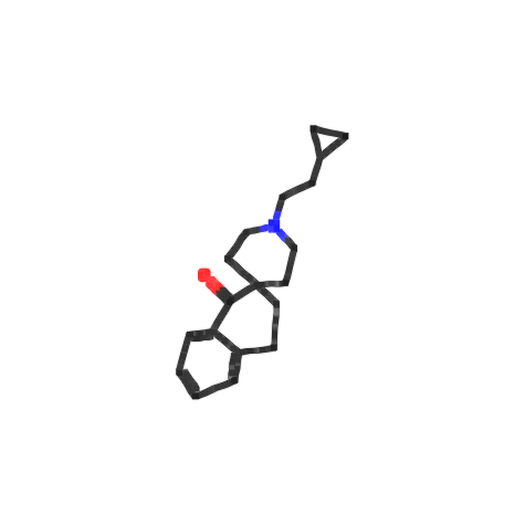 O=C1c2ccccc2CCC12CCN(CCC1CC1)CC2